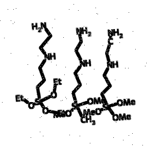 CCO[Si](CCCNCCN)(OCC)OCC.CO[Si](C)(CCCNCCN)OC.CO[Si](CCCNCCN)(OC)OC